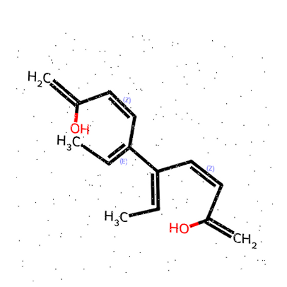 C=C(O)/C=C\C(=CC)C(/C=C\C(=C)O)=C/C